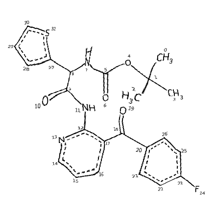 CC(C)(C)OC(=O)NC(C(=O)Nc1ncccc1C(=O)c1ccc(F)cc1)c1cccs1